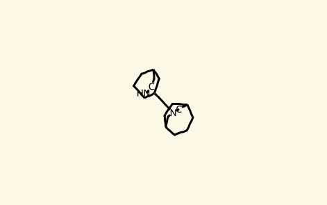 C1CC2CCC(C1)CN(C1CC3CCNC1CC3)C2